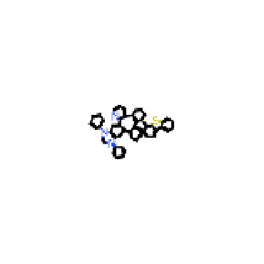 c1ccc(N2CCN(c3ccccc3)c3cc4c(cc32)-c2ccccc2-c2c(cccc2-c2cccc3c2sc2ccccc23)-c2cccnc2-4)cc1